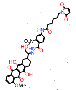 COc1cccc2c1C(=O)c1c(O)c3c(c(O)c1C2=O)CC(/C(CO)=N/NC(=O)c1ccc(NC(=O)CCCCCN2C(=O)C=CC2=O)cc1[N+](=O)[O-])CC3